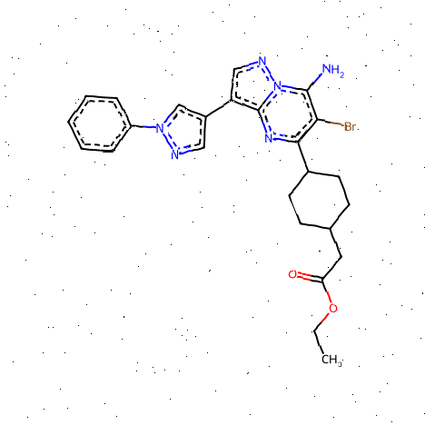 CCOC(=O)CC1CCC(c2nc3c(-c4cnn(-c5ccccc5)c4)cnn3c(N)c2Br)CC1